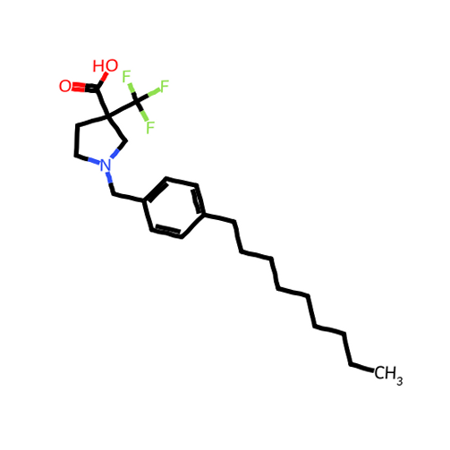 CCCCCCCCCc1ccc(CN2CCC(C(=O)O)(C(F)(F)F)C2)cc1